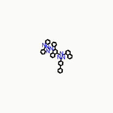 c1ccc(-c2ccc(-c3nc(-c4cccc5ccccc45)nc(-c4cc5c6ccccc6n(-c6nc7ccccc7c7nc8ccccc8n67)c5c5ccccc45)n3)cc2)cc1